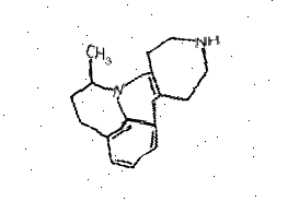 CC1CCc2cccc3c4c(n1c23)CCNCC4